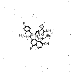 Cc1nc(F)ccc1[C@H](Nc1cc(F)c2ncc(C#N)c(NCC(C)(C)C)c2c1)c1cn(C2(C(N)=O)CCC2)nn1